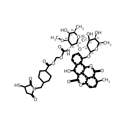 CO[C@H]1[C@@H](O)[C@@H](C)O[C@H](O[C@H]2[C@H](Oc3cccc4c(O)c5c(=O)oc6ccc(C)c7c(=O)oc(c34)c5c67)O[C@H](C)[C@H](O)[C@]2(C)O)[C@@H]1NC(=O)OCOC(=O)C1CCC(CN2C(=O)CC(S)C2=O)CC1